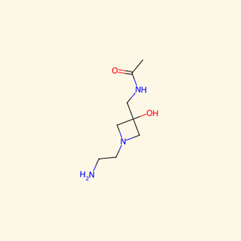 CC(=O)NCC1(O)CN(CCN)C1